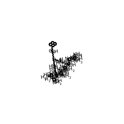 NCC1O[C@H](O[C@@H]2C(N)C[C@@H](N)C(O)[C@H]2OC2O[C@H](CSCCNC(=S)NCCCCN(CCCCCNC(=O)CCc3cc4cccc5c4c4c3CC=CC4=CC5)CCCNC(=S)NCCSC[C@H]3OC(O[C@@H]4C(O)[C@H](N)CC(N)[C@H]4O[C@H]4OC(CN)[C@@H](O)[C@H](O)C4N)[C@@H](O)[C@H]3O[C@H]3O[C@@H](CN)[C@@H](O)C(O)C3N)[C@H](O[C@H]3O[C@@H](CN)[C@@H](O)C(O)C3N)[C@@H]2O)C(N)[C@@H](O)[C@@H]1O